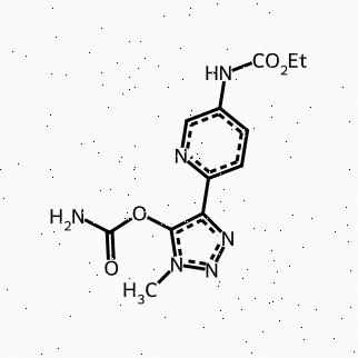 CCOC(=O)Nc1ccc(-c2nnn(C)c2OC(N)=O)nc1